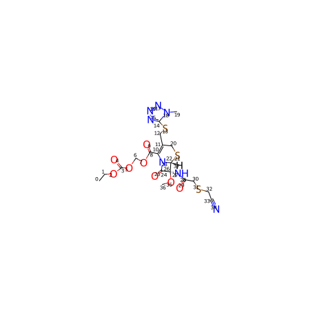 CCOC(=O)OCOC(=O)C1=C(CSc2nnnn2C)CS[C@H]2N1C(=O)[C@]2(NC(=O)CSCC#N)OC